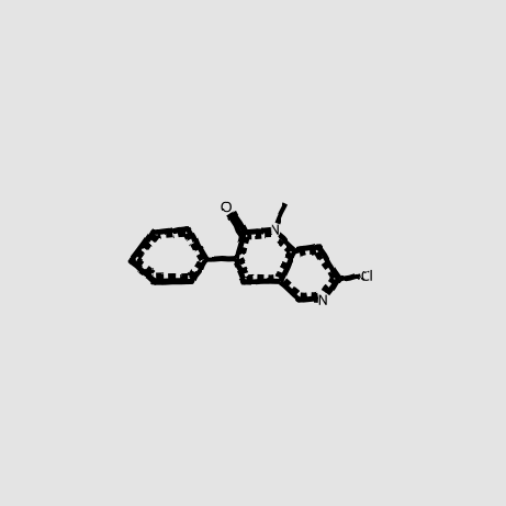 Cn1c(=O)c(-c2ccccc2)cc2cnc(Cl)cc21